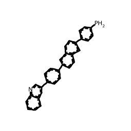 Pc1ccc(-c2ccc3cc(-c4ccc(-c5cnc6ccccc6c5)cc4)ccc3c2)cc1